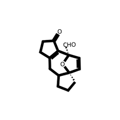 O=C[C@@]12C=C[C@]3(CCCC3CC3=C1C(=O)CC3)O2